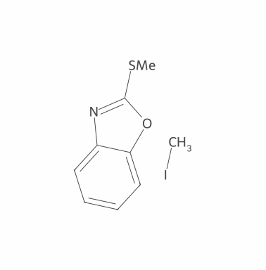 CI.CSc1nc2ccccc2o1